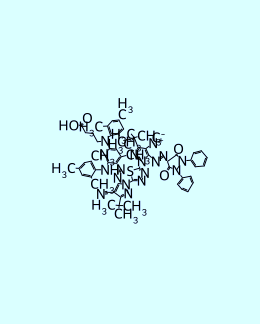 [C-]#[N+]c1c(C(C)(C)C)nn(-c2nnc(-n3nc(C(C)(C)C)c(C#N)c3N=Nc3c(C)cc(N(CCCC(=O)O)c4c(C)cc(C)cc4C)nc3Nc3c(C)cc(C)cc3C)s2)c1N=NC1C(=O)N(c2ccccc2)N(c2ccccc2)C1=O